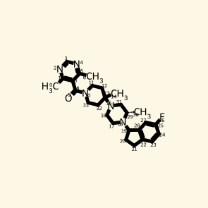 Cc1ncnc(C)c1C(=O)N1CCC(C)(N2CCN(C3CCc4ccc(F)cc43)[C@@H](C)C2)CC1